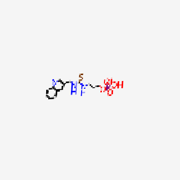 O=P(O)(O)OCCCNC(=S)NCc1cnc2ccccc2c1